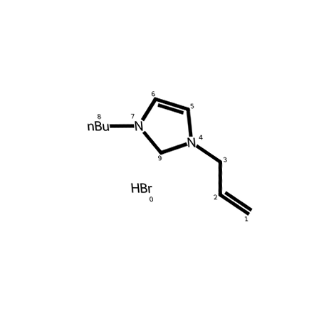 Br.C=CCN1C=CN(CCCC)C1